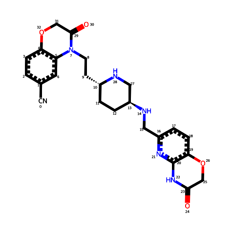 N#Cc1ccc2c(c1)N(CC[C@H]1CC[C@H](NCc3ccc4c(n3)NC(=O)CO4)CN1)C(=O)CO2